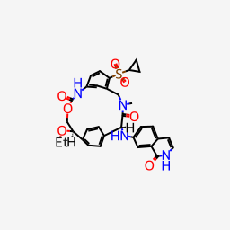 CCO[C@H]1COC(=O)Nc2ccc(S(=O)(=O)C3CC3)c(c2)CN(C)C(=O)[C@H](Nc2ccc3cc[nH]c(=O)c3c2)c2ccc1cc2